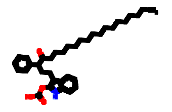 CCCCCCCCCCCCCCCCCC(=O)C(CCc1c(OC(=O)O)[nH]c2ccccc12)c1ccccc1